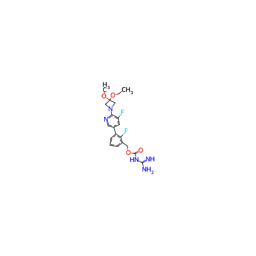 CCOC1(OC)CN(c2ncc(-c3cccc(COC(=O)NC(=N)N)c3F)cc2F)C1